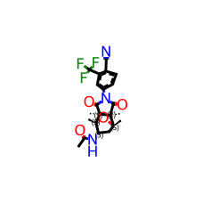 CC(=O)N[C@H]1C[C@]2(C)O[C@@]1(C)[C@@]1(C)C(=O)N(c3ccc(C#N)c(C(F)(F)F)c3)C(=O)[C@]12C